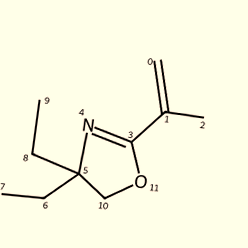 C=C(C)C1=NC(CC)(CC)CO1